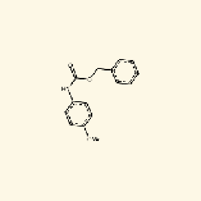 COc1ccc(NC(=O)OCc2ccccc2)cc1